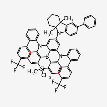 CC12CCCCC1(C)N(c1cc3c4c(c1)N(c1ccccc1-c1ccc(C(F)(F)F)cc1)c1cccc5c1B4c1c(cccc1[Si]5(C)C)N3c1ccccc1-c1ccc(C(F)(F)F)cc1)c1ccc(-c3ccccc3)cc12